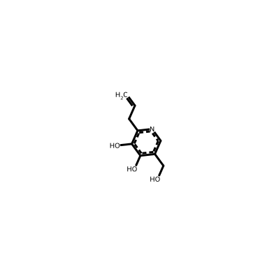 C=CCc1ncc(CO)c(O)c1O